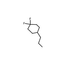 CCCC1CCC(F)(F)CC1